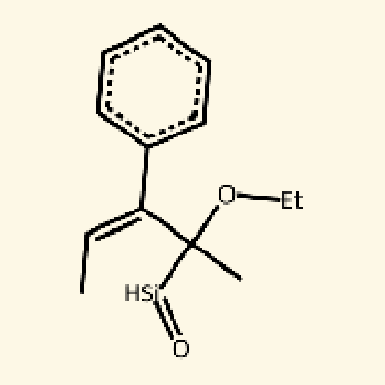 CC=C(c1ccccc1)C(C)(OCC)[SiH]=O